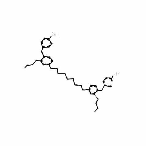 CCCCc1cc(CCCCCCCCCc2ccc(Cc3ccc(N)cc3)c(CCCC)c2)ccc1Cc1ccc(N)cc1